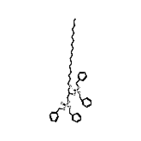 CCCCCCCCCCCCCCCCCCOCC(COP(=O)(OCc1ccccc1)OCc1ccccc1)OP(=O)(OCc1ccccc1)OCc1ccccc1